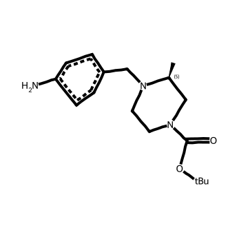 C[C@H]1CN(C(=O)OC(C)(C)C)CCN1Cc1ccc(N)cc1